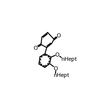 CCCCCCCOc1cccc(C2=CC(=O)C=CC2=O)c1OCCCCCCC